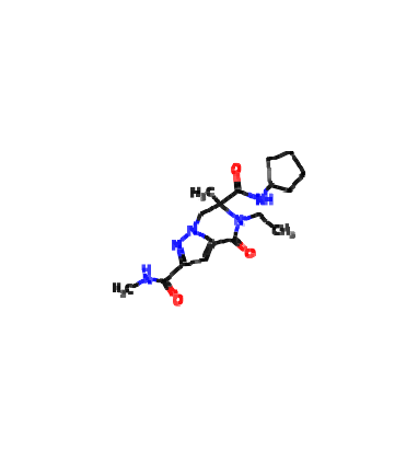 CCN1C(=O)c2cc(C(=O)NC)nn2CC1(C)C(=O)NC1CCCC1